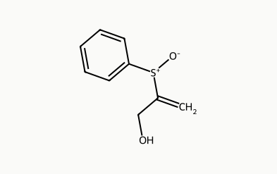 C=C(CO)[S+]([O-])c1ccccc1